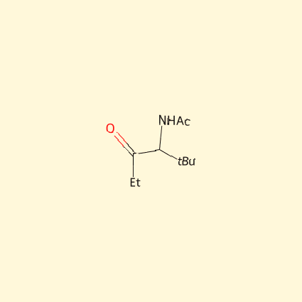 CCC(=O)C(NC(C)=O)C(C)(C)C